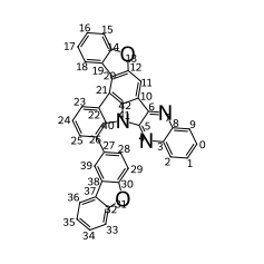 c1ccc2nc3c(nc2c1)c1cc2oc4ccccc4c2c2c4cccc(-c5ccc6oc7ccccc7c6c5)c4n3c12